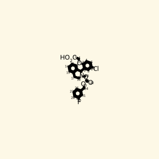 O=C(O)COc1ccc(Cl)cc1C1c2ccccc2CCN1OC(=O)OCc1cccc(F)c1